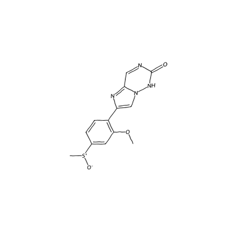 COc1cc([S+](C)[O-])ccc1-c1cn2[nH]c(=O)ncc2n1